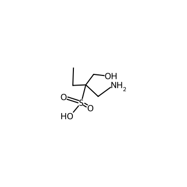 CCC(CN)(CO)S(=O)(=O)O